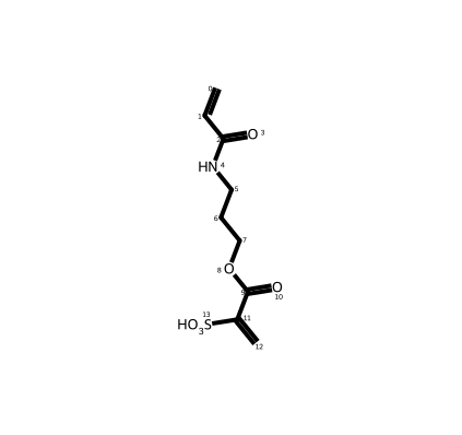 C=CC(=O)NCCCOC(=O)C(=C)S(=O)(=O)O